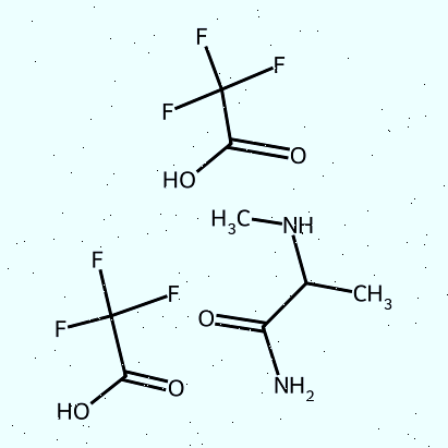 CNC(C)C(N)=O.O=C(O)C(F)(F)F.O=C(O)C(F)(F)F